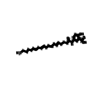 CCCCCC=CCC=CCC=CCC=CCCCC(=O)Nc1ccc(O)c(C(=O)O)c1